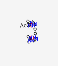 CC(=O)O[C@H](C(=O)N1CCC[C@H]1c1ncc(-c2ccc(-c3ccc(-c4cnc([C@@H]5CCCN5C(=O)[C@@H](c5ccccc5)N5CCCCC5)[nH]4)cc3)cc2)[nH]1)c1ccccc1